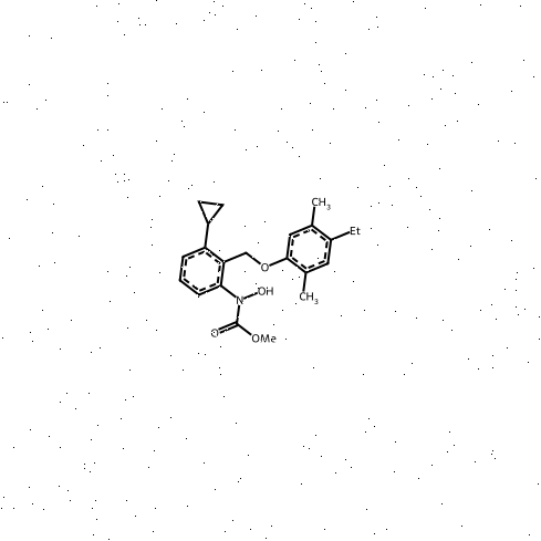 CCc1cc(C)c(OCc2c(C3CC3)cccc2N(O)C(=O)OC)cc1C